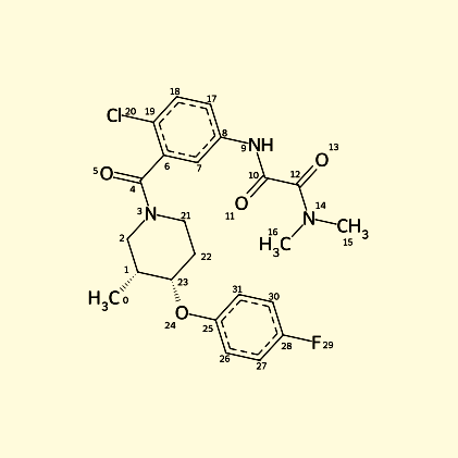 C[C@@H]1CN(C(=O)c2cc(NC(=O)C(=O)N(C)C)ccc2Cl)CC[C@@H]1Oc1ccc(F)cc1